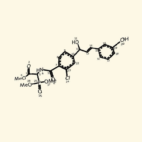 COC(=O)C(NC(=O)c1ccc(C(O)C=Cc2cccc(O)c2)cc1Cl)P(=O)(OC)OC